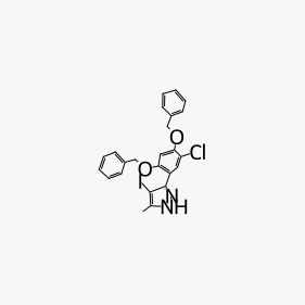 Cc1[nH]nc(-c2cc(Cl)c(OCc3ccccc3)cc2OCc2ccccc2)c1I